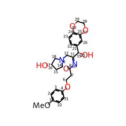 COc1ccc(OCCC(=O)/N=C(\CN2CC[C@H](O)C2)[C@H](O)c2ccc3c(c2)OCCO3)cc1